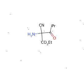 CCOC(=O)C(N)(C#N)C(=O)C(C)C